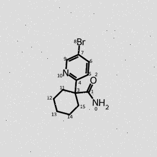 NC(=O)C1(c2ccc(Br)cn2)CCCCC1